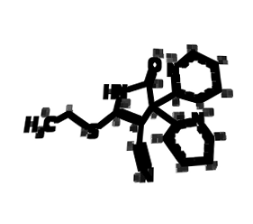 CCSC1=C(C#N)C(c2ccccn2)(c2ccccn2)C(=O)N1